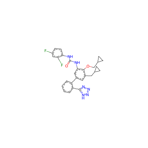 O=C(Nc1ccc(F)cc1F)Nc1cc(-c2ccccc2-c2nnn[nH]2)cc(CC2CC2)c1OCC1CC1